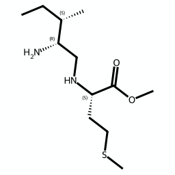 CC[C@H](C)[C@@H](N)CN[C@@H](CCSC)C(=O)OC